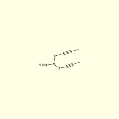 CC#CON(CCCCC)OC#CC